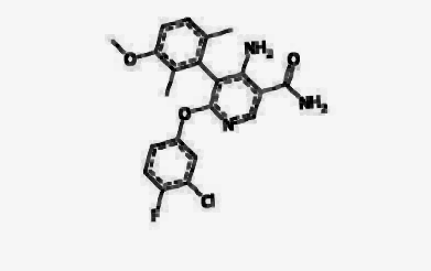 COc1ccc(C)c(-c2c(Oc3ccc(F)c(Cl)c3)ncc(C(N)=O)c2N)c1C